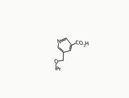 CC(C)OCc1cncc(C(=O)O)c1